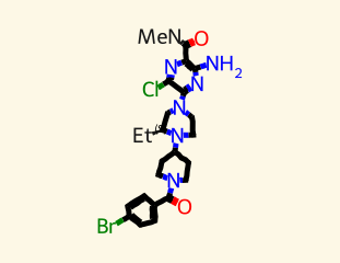 CC[C@H]1CN(c2nc(N)c(C(=O)NC)nc2Cl)CCN1C1CCN(C(=O)c2ccc(Br)cc2)CC1